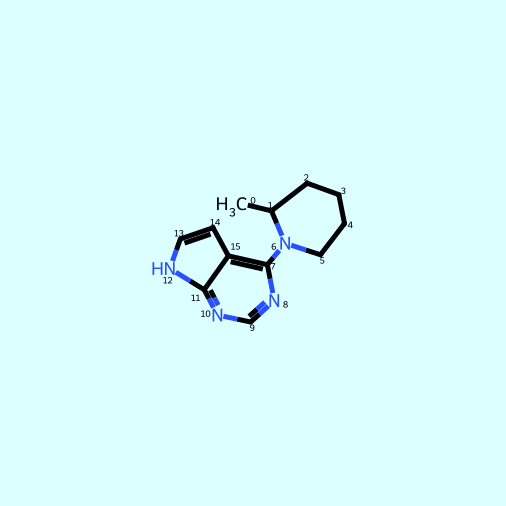 CC1CCCCN1c1ncnc2[nH]ccc12